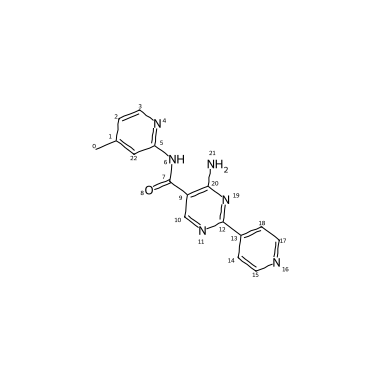 Cc1ccnc(NC(=O)c2cnc(-c3ccncc3)nc2N)c1